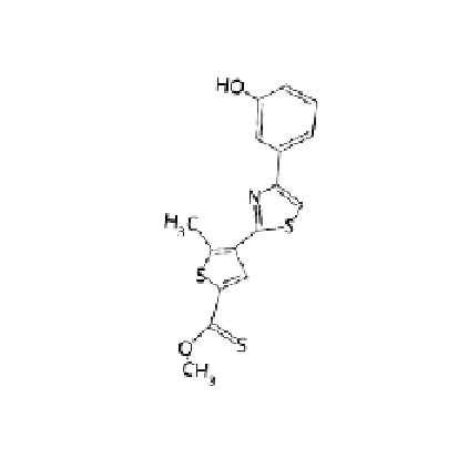 COC(=S)c1cc(-c2nc(-c3cccc(O)c3)cs2)c(C)s1